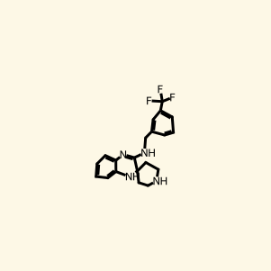 FC(F)(F)c1cccc(CNC2=Nc3ccccc3NC23CCNCC3)c1